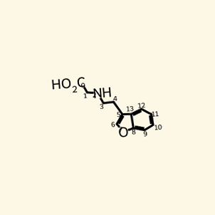 O=C(O)CNCCc1coc2ccccc12